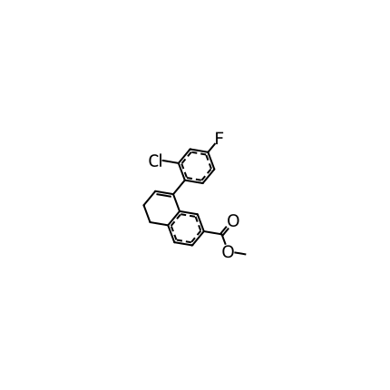 COC(=O)c1ccc2c(c1)C(c1ccc(F)cc1Cl)=CCC2